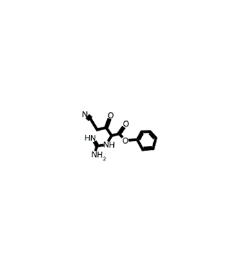 N#CCC(=O)C(NC(=N)N)C(=O)Oc1ccccc1